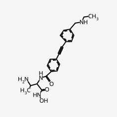 CCNCc1ccc(C#Cc2ccc(C(=O)NC(C(=O)NO)C(C)N)cc2)cc1